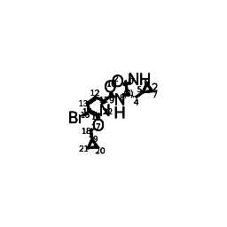 NC(=O)[C@H](CC1CC1)NC(=O)c1ccc(Br)c(OCC2CC2)n1